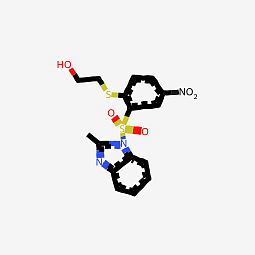 Cc1nc2ccccc2n1S(=O)(=O)c1cc([N+](=O)[O-])ccc1SCCO